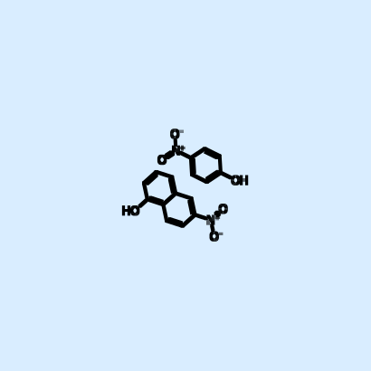 O=[N+]([O-])c1ccc(O)cc1.O=[N+]([O-])c1ccc2c(O)cccc2c1